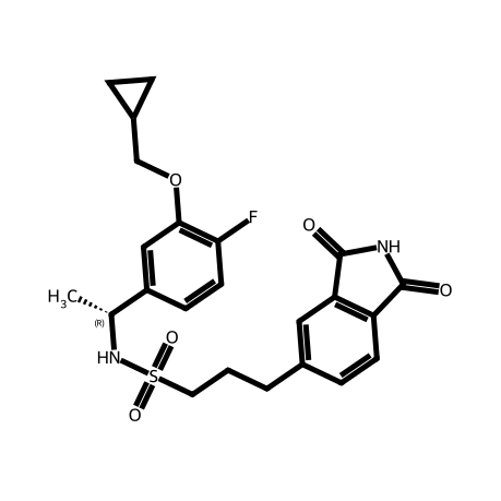 C[C@@H](NS(=O)(=O)CCCc1ccc2c(c1)C(=O)NC2=O)c1ccc(F)c(OCC2CC2)c1